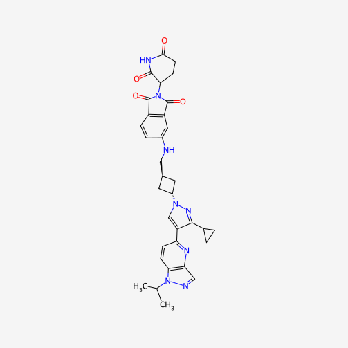 CC(C)n1ncc2nc(-c3cn([C@H]4C[C@H](CNc5ccc6c(c5)C(=O)N(C5CCC(=O)NC5=O)C6=O)C4)nc3C3CC3)ccc21